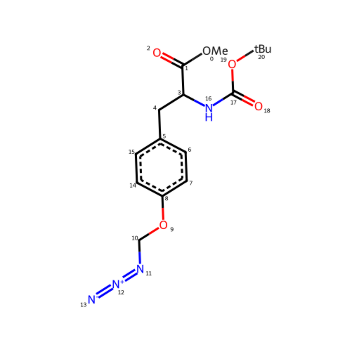 COC(=O)C(Cc1ccc(OCN=[N+]=[N-])cc1)NC(=O)OC(C)(C)C